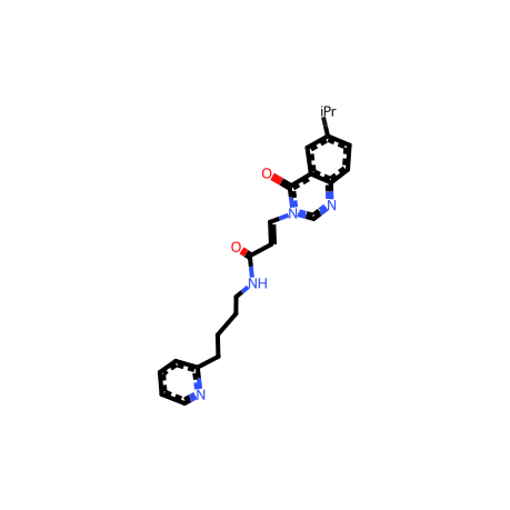 CC(C)c1ccc2ncn(/C=C/C(=O)NCCCCc3ccccn3)c(=O)c2c1